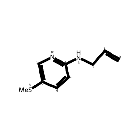 C=CCNc1ccc(SC)cn1